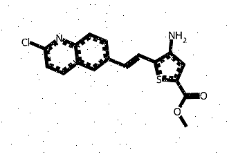 COC(=O)c1cc(N)c(/C=C/c2ccc3nc(Cl)ccc3c2)s1